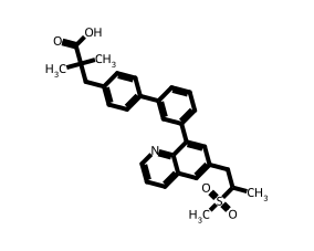 CC(Cc1cc(-c2cccc(-c3ccc(CC(C)(C)C(=O)O)cc3)c2)c2ncccc2c1)S(C)(=O)=O